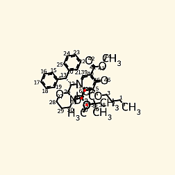 CCCCOc1c(C(=O)OC)n([C@@H](C(c2ccccc2)c2ccccc2)C2OCCCN2C(=O)OC(C)(C)C)cc(C(=O)OC)c1=O